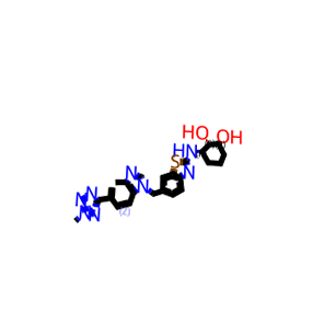 C=C(/C=C\c1c(C)ncn1Cc1ccc2nc(N[C@@H]3CCC[C@@H](O)[C@H]3O)sc2c1)c1nnn(C)n1